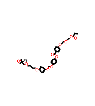 C=CC(=O)OCCOCCOc1ccc(C(=O)Oc2ccc(OCOc3ccc(OCCCCOCC4(CC)COC4)cc3)cc2)cc1